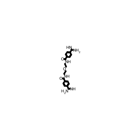 N=C(N)c1ccc(C(=O)NCCOCCNC(=O)c2ccc(C(=N)N)cc2)cc1